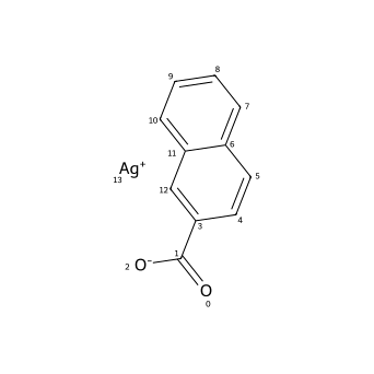 O=C([O-])c1ccc2ccccc2c1.[Ag+]